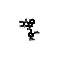 CCCCC(CO)Nc1c(C(=O)OCC)c(NCc2ccc(OC)cc2OC)nc2cccnc12